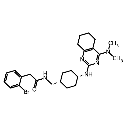 CN(C)c1nc(N[C@H]2CC[C@@H](CNC(=O)Cc3ccccc3Br)CC2)nc2c1CCCC2